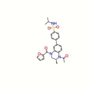 CC(=O)N1c2ccc(-c3ccc(S(=O)(=O)NC(C)C)cc3)cc2N(C(=O)c2ccco2)C[C@@H]1C